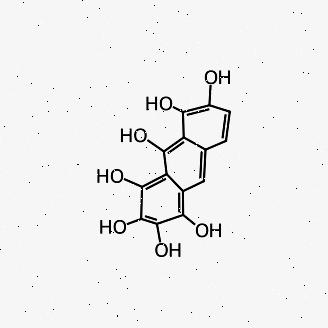 Oc1ccc2cc3c(O)c(O)c(O)c(O)c3c(O)c2c1O